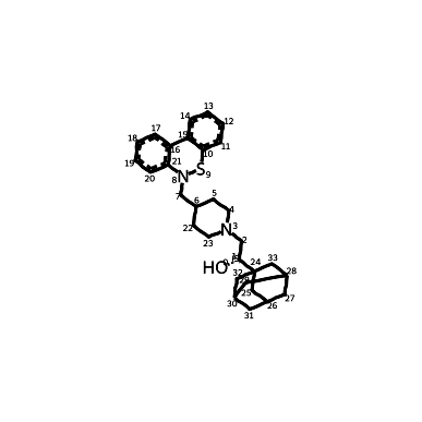 O[C@H](CN1CCC(CN2Sc3ccccc3-c3ccccc32)CC1)C12CC3CC(CC(C3)C1)C2